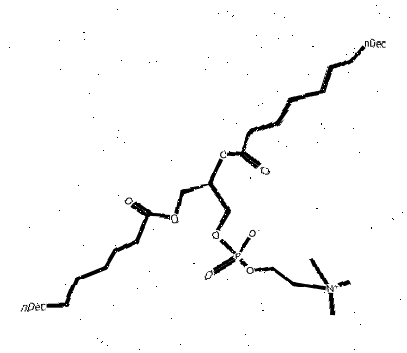 CCCCCCCCCCCCCCCCC(=O)O[C@H](COC(=O)CCCCCCCCCCCCCCC)COP(=O)([O-])OCC[N+](C)(C)C